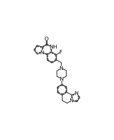 O=c1[nH]c2c(F)c(CN3CCN(c4ccc5c(c4)-c4nccn4CC5)CC3)ccc2n2cccc12